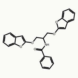 O=C(NC(COc1cc2ccccc2o1)COc1cc2ccccc2o1)c1ccccc1